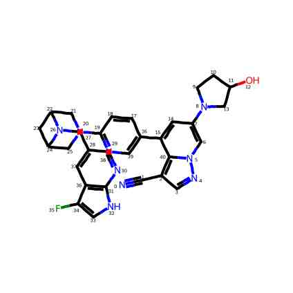 N#Cc1cnn2cc(N3CCC(O)C3)cc(-c3ccc(N4CC5CC(C4)N5Cc4cnc5[nH]cc(F)c5c4)nc3)c12